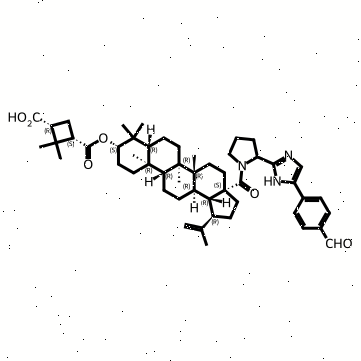 C=C(C)[C@@H]1CC[C@]2(C(=O)N3CCCC3c3ncc(-c4ccc(C=O)cc4)[nH]3)CC[C@]3(C)[C@H](CC[C@@H]4[C@@]5(C)CC[C@H](OC(=O)[C@H]6C[C@@H](C(=O)O)C6(C)C)C(C)(C)[C@@H]5CC[C@]43C)[C@@H]12